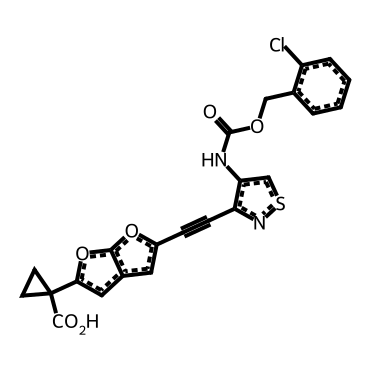 O=C(Nc1csnc1C#Cc1cc2cc(C3(C(=O)O)CC3)oc2o1)OCc1ccccc1Cl